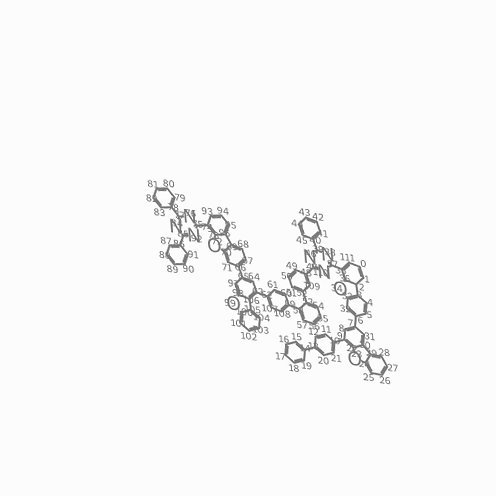 C1=CC2c3ccc(-c4cc(-c5ccc(-c6ccccc6)cc5)c5oc6ccccc6c5c4)cc3OC2C(c2nc(-c3ccccc3)nc(-c3cccc(-c4ccccc4-c4ccc(-c5cc(-c6ccc7c(c6)oc6c(-c8nc(-c9ccccc9)nc(-c9ccccc9)n8)cccc67)cc6oc7ccccc7c56)cc4)c3)n2)=C1